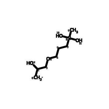 [CH2]C(O)COCCC[Si](C)(O)O